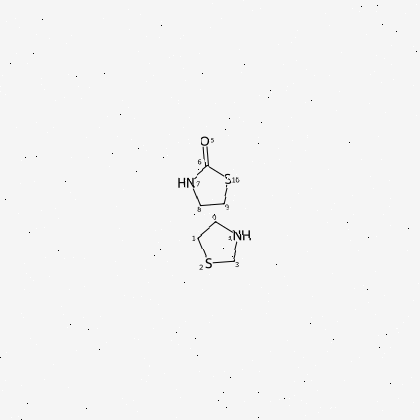 C1CSCN1.O=C1NCCS1